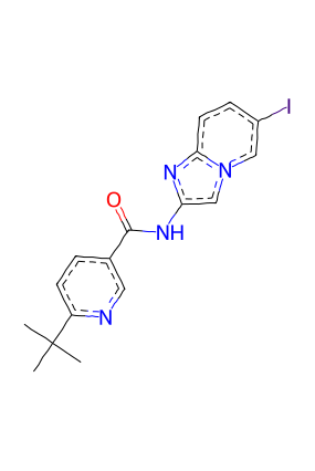 CC(C)(C)c1ccc(C(=O)Nc2cn3cc(I)ccc3n2)cn1